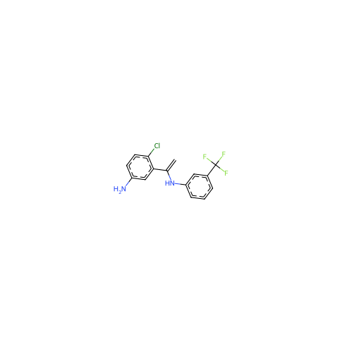 C=C(Nc1cccc(C(F)(F)F)c1)c1cc(N)ccc1Cl